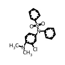 CN(C)c1ccc(N(c2ccccc2)S(=O)(=O)c2ccccc2)cc1Cl